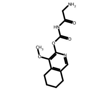 COc1c(OC(=O)NC(=O)CN)ncc2c1CCCC2